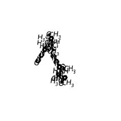 COc1cc(P(C)(C)=O)ccc1NC1=NC(Nc2ccc(N3CCC(N4CCOCC4)CC3)cc2OC)NC(C2CC2CN2CCN(C3CCN(c4ccc(Nc5ncc(Cl)c(Nc6ccccc6P(C)(C)=O)n5)c(OC(C)C)c4)CC3)CC2)=C1Cl